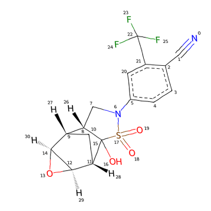 N#Cc1ccc(N2C[C@H]3[C@@H]4C[C@@H]([C@H]5O[C@@H]45)C3(O)S2(=O)=O)cc1C(F)(F)F